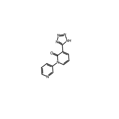 O=c1c(-c2nnn[nH]2)cccn1-c1cccnc1